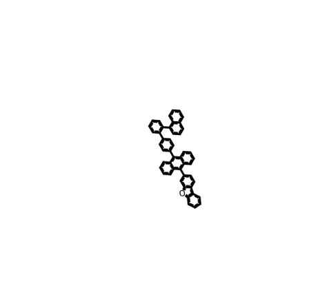 c1ccc(-c2cccc3ccccc23)c(-c2ccc(-c3c4ccccc4c(-c4ccc5c(c4)oc4ccccc45)c4ccccc34)cc2)c1